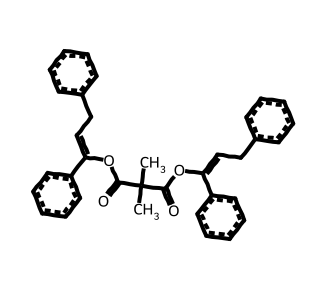 CC(C)(C(=O)OC(=CCc1ccccc1)c1ccccc1)C(=O)OC(=CCc1ccccc1)c1ccccc1